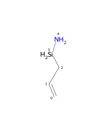 C=CC[SiH2]N